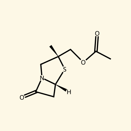 CC(=O)OC[C@@]1(C)CN2C(=O)C[C@H]2S1